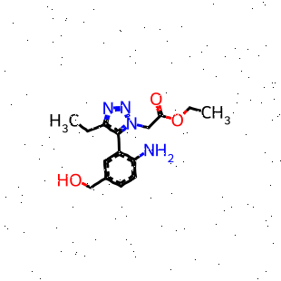 CCOC(=O)Cn1nnc(CC)c1-c1cc(CO)ccc1N